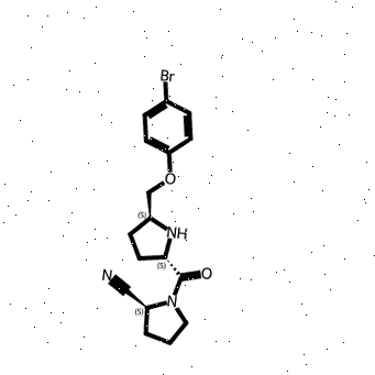 N#C[C@@H]1CCCN1C(=O)[C@@H]1CC[C@@H](COc2ccc(Br)cc2)N1